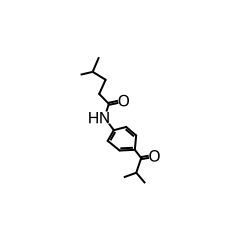 CC(C)CCC(=O)Nc1ccc(C(=O)C(C)C)cc1